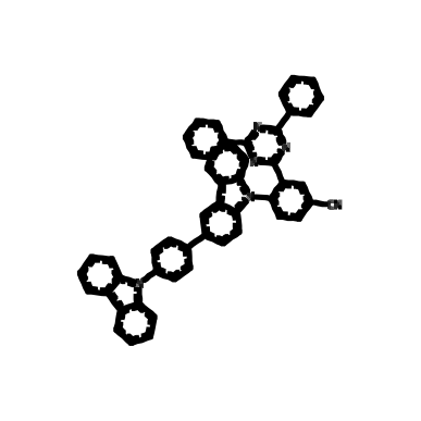 N#Cc1ccc(-n2c3ccccc3c3cc(-c4ccc(-n5c6ccccc6c6ccccc65)cc4)ccc32)c(-c2nc(-c3ccccc3)nc(-c3ccccc3)n2)c1